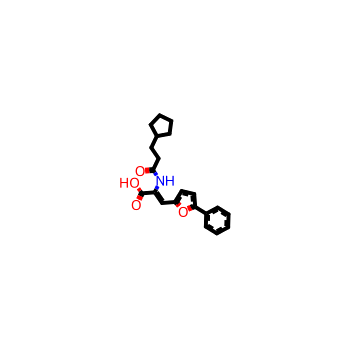 O=C(CCC1CCCC1)NC(=Cc1ccc(-c2ccccc2)o1)C(=O)O